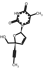 CC#C[C@]1(CO)C=C[C@H](n2cc(C)c(=O)[nH]c2=O)O1